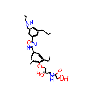 CCCNCc1cc(CCC)cc(-c2nc(-c3cc(C)c(OC[C@@H](O)CNC(=O)CO)c(CC)c3)no2)c1